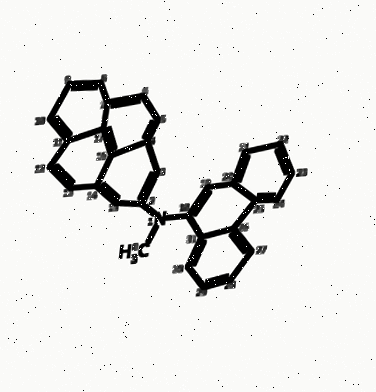 CN(c1cc2ccc3cccc4ccc(c1)c2c34)c1cc2ccccc2c2ccccc12